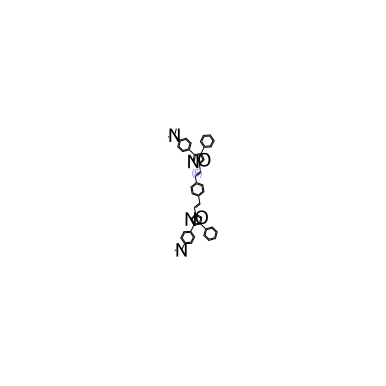 CN(C)c1ccc(-c2nc(C=Cc3ccc(/C=C/c4nc(-c5ccc(N(C)C)cc5)c(-c5ccccc5)o4)cc3)oc2-c2ccccc2)cc1